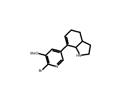 COc1cc(C2=CCCC3CCNC23)cnc1Br